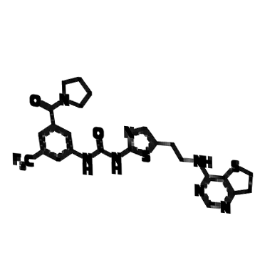 O=C(Nc1cc(C(=O)N2CCCC2)cc(C(F)(F)F)c1)Nc1ncc(CCNc2ncnc3c2SCC3)s1